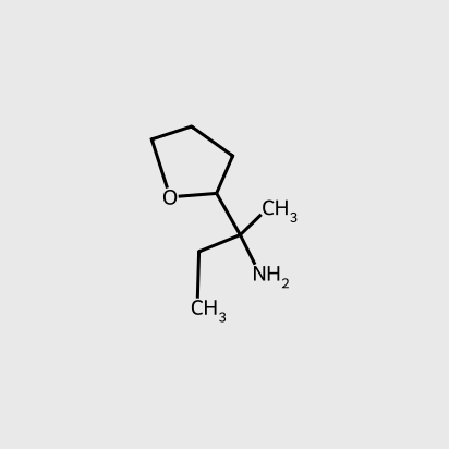 CCC(C)(N)C1CCCO1